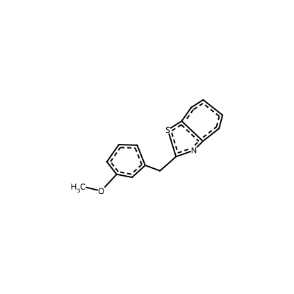 COc1cccc(Cc2nc3ccccc3s2)c1